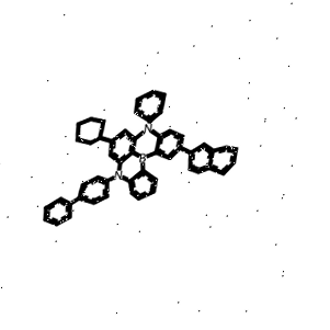 c1ccc(-c2ccc(N3c4ccccc4B4c5cc(-c6ccc7ccccc7c6)ccc5N(c5ccccc5)c5cc(C6CCCCC6)cc3c54)cc2)cc1